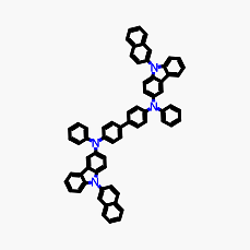 c1ccc(N(c2ccc(-c3ccc(N(c4ccccc4)c4ccc5c(c4)c4ccccc4n5-c4ccc5ccccc5c4)cc3)cc2)c2ccc3c(c2)c2ccccc2n3-c2ccc3ccccc3c2)cc1